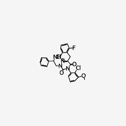 COc1cccc(-n2c(=O)c(Cc3c(F)cccc3Cl)nn(CC(N)c3ccccc3)c2=O)c1Cl